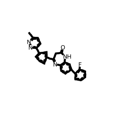 Cc1ccc(-c2cccc(C3=Nc4ccc(-c5ccccc5F)cc4NC(=O)C3)c2)nn1